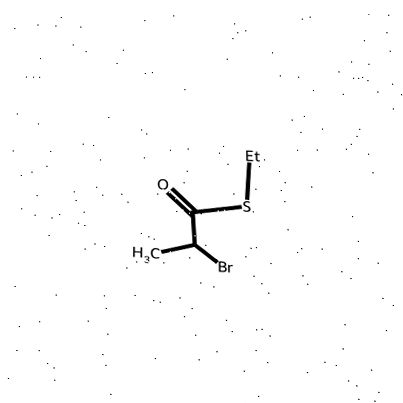 CCSC(=O)C(C)Br